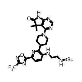 CC(C)(C)NCCNc1ccc(-c2nc(C(F)(F)F)no2)nc1C1CCN(c2ncnc3c2C(C)(C)C(=O)N3)CC1